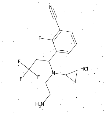 Cl.N#Cc1cccc(C(CC(F)(F)F)N(CCN)C2CC2)c1F